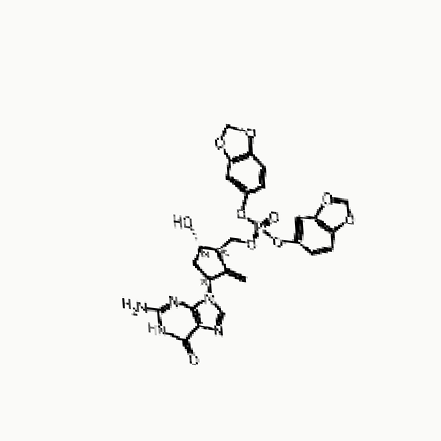 C=C1[C@H](COP(=O)(Oc2ccc3c(c2)OCO3)Oc2ccc3c(c2)OCO3)[C@@H](O)C[C@@H]1n1cnc2c(=O)[nH]c(N)nc21